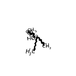 CCCCCCCC(CCCCCC)OC(O)c1ccc(OS(C)(=O)=O)o1